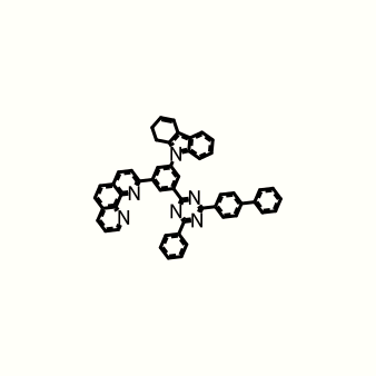 C1=Cc2c(n(-c3cc(-c4ccc5ccc6cccnc6c5n4)cc(-c4nc(-c5ccccc5)nc(-c5ccc(-c6ccccc6)cc5)n4)c3)c3ccccc23)CC1